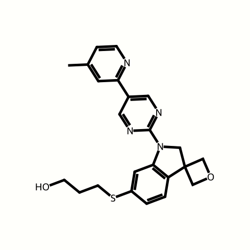 Cc1ccnc(-c2cnc(N3CC4(COC4)c4ccc(SCCCO)cc43)nc2)c1